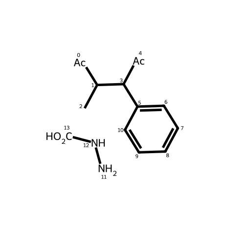 CC(=O)C(C)C(C(C)=O)c1ccccc1.NNC(=O)O